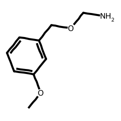 COc1cccc(COCN)c1